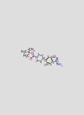 CC(C)(C)OC(=O)N1CCC(c2cc3onc(N)c3cc2F)CC1